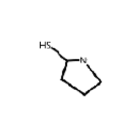 SC1CCC[N]1